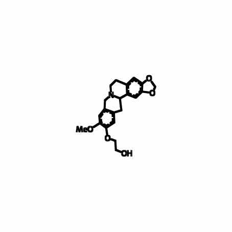 COc1cc2c(cc1OCCO)CC1c3cc4c(cc3CCN1C2)OCO4